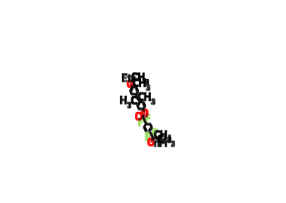 CCCC(C)(C)C(=O)C(F)(F)c1ccc(C(F)(F)C(=O)Oc2ccc(C(C)(C)c3ccc(OC(C)(C)CC)cc3)cc2)cc1